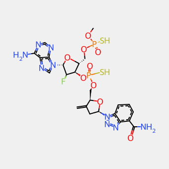 C=C1C[C@H](n2nnc3c(C(N)=O)cccc32)O[C@@H]1COP(=O)(S)O[C@H]1[C@@H](F)[C@H](n2cnc3c(N)ncnc32)O[C@@H]1CO[P@@](=O)(S)OC